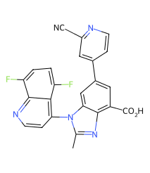 Cc1nc2c(C(=O)O)cc(-c3ccnc(C#N)c3)cc2n1-c1ccnc2c(F)ccc(F)c12